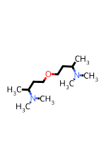 CC(CCOCCC(C)N(C)C)N(C)C